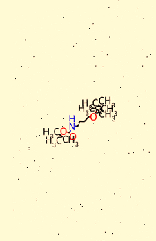 CC(C)(C)OC(=O)NCCCCO[Si](C)(C)C(C)(C)C